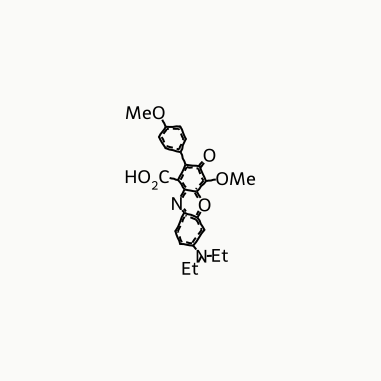 CCN(CC)c1ccc2nc3c(C(=O)O)c(-c4ccc(OC)cc4)c(=O)c(OC)c-3oc2c1